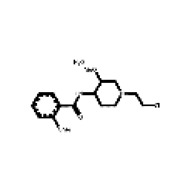 COc1ccccc1C(=O)NC1CCN(CCCl)CC1OC.O